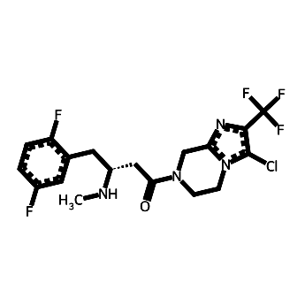 CN[C@@H](CC(=O)N1CCn2c(nc(C(F)(F)F)c2Cl)C1)Cc1cc(F)ccc1F